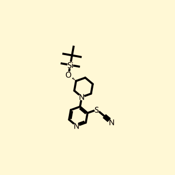 CC(C)(C)[Si](C)(C)O[C@@H]1CCCN(c2ccncc2SC#N)C1